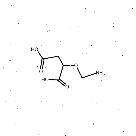 NCOC(CC(=O)O)C(=O)O